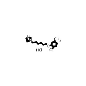 Cc1ccc(Cl)c(OCCCCCCn2ccnc2)c1.Cl